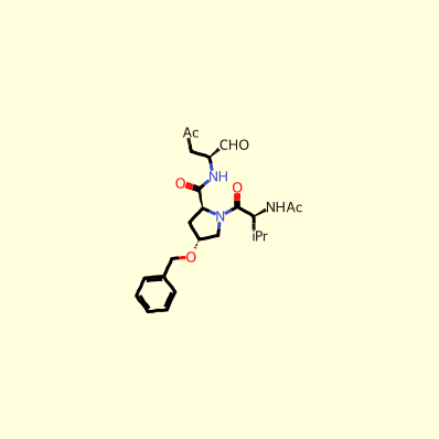 CC(=O)C[C@@H](C=O)NC(=O)[C@@H]1C[C@@H](OCc2ccccc2)CN1C(=O)[C@@H](NC(C)=O)C(C)C